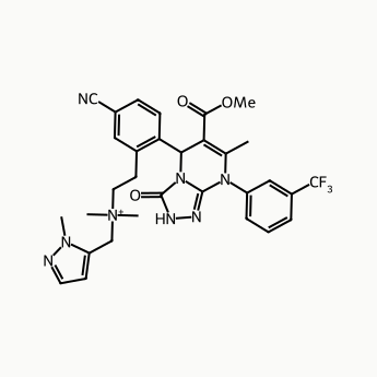 COC(=O)C1=C(C)N(c2cccc(C(F)(F)F)c2)c2n[nH]c(=O)n2C1c1ccc(C#N)cc1CC[N+](C)(C)Cc1ccnn1C